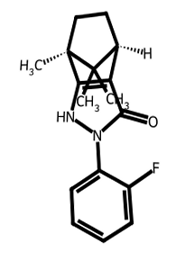 CC1(C)[C@H]2CC[C@]1(C)c1[nH]n(-c3ccccc3F)c(=O)c12